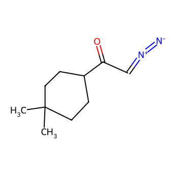 CC1(C)CCC(C(=O)C=[N+]=[N-])CC1